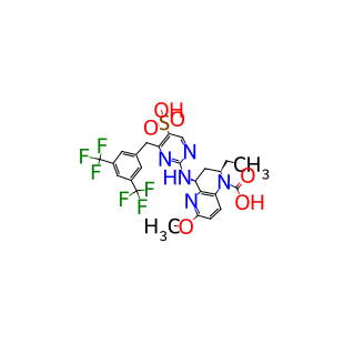 CC[C@@H]1C[C@H](Nc2ncc(S(=O)(=O)O)c(Cc3cc(C(F)(F)F)cc(C(F)(F)F)c3)n2)c2nc(OC)ccc2N1C(=O)O